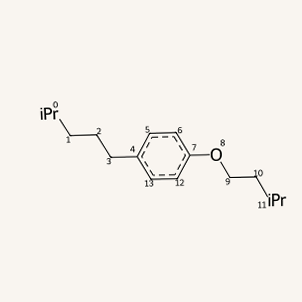 CC(C)CCCc1ccc(OCCC(C)C)cc1